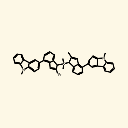 CC1=Cc2c(-c3ccc4c(c3)c3ccccc3n4C)cccc2C1S(C)(C)C1C(C(C)C)=Cc2c(-c3ccc4c(c3)c3ccccc3n4C)cccc21